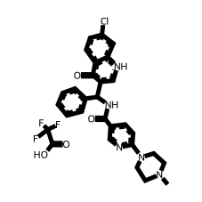 CN1CCN(c2ccc(C(=O)NC(c3ccccc3)c3c[nH]c4cc(Cl)ccc4c3=O)cn2)CC1.O=C(O)C(F)(F)F